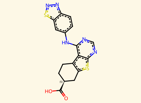 O=C(O)[C@H]1CCc2c(sc3ncnc(Nc4ccc5nnsc5c4)c23)C1